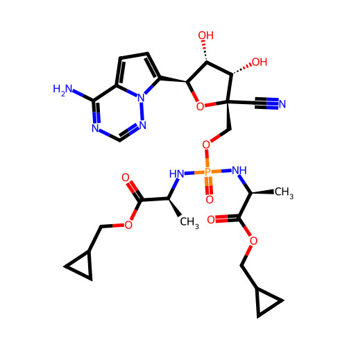 C[C@H](NP(=O)(N[C@@H](C)C(=O)OCC1CC1)OC[C@@]1(C#N)O[C@@H](c2ccc3c(N)ncnn23)[C@H](O)[C@@H]1O)C(=O)OCC1CC1